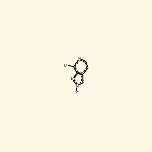 CCc1nccc2nn(C(C)C)nc12